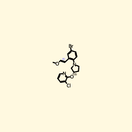 CO/C=C/c1cc(Br)ccc1N1CC[C@H](Oc2ncccc2Cl)C1